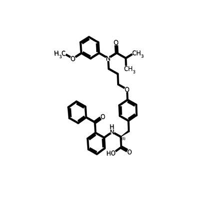 COc1cccc(N(CCCOc2ccc(C[C@H](Nc3ccccc3C(=O)c3ccccc3)C(=O)O)cc2)C(=O)C(C)C)c1